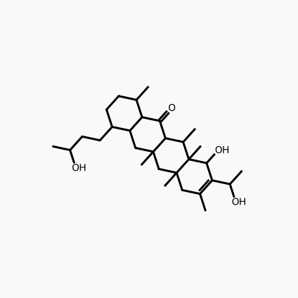 CC1=C(C(C)O)C(O)C2(C)C(C)C3C(=O)C4C(C)CCC(CCC(C)O)C4CC3(C)CC2(C)C1